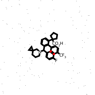 O=C(O)C1(c2cccc(C(c3ccc(F)cc3)N3CCCC4(CC4)C3)c2-c2ccc(C(F)(F)F)cc2)CCCC1